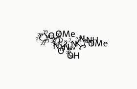 CONc1ccc(N2CCN(C(=O)c3cc(OC)c(Oc4ccccc4)cn3)C(CO)C2)cn1